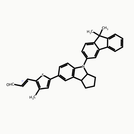 Cc1cc(-c2ccc3c(c2)C2CCCC2N3c2ccc3c(c2)-c2ccccc2C3(C)C)sc1/C=C/C=O